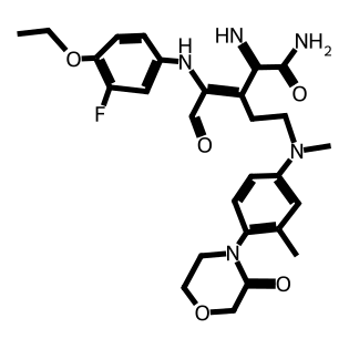 CCOc1ccc(N/C(C=O)=C(/CCN(C)c2ccc(N3CCOCC3=O)c(C)c2)C(=N)C(N)=O)cc1F